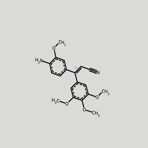 COc1cc(/C(=C/C#N)c2cc(OC)c(OC)c(OC)c2)ccc1N